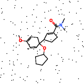 COC1=CCC(OC2CCCC2)(C2C=C(C(=O)N(C)C)CC2)C=C1